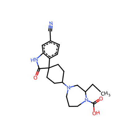 CCC1CN(C2CCC3(CC2)C(=O)Nc2cc(C#N)ccc23)CCCN1C(=O)O